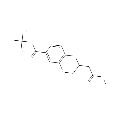 COC(=O)CC1CNc2cc(C(=O)OC(C)(C)C)ccc2O1